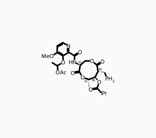 COc1ccnc(C(=O)N[C@H]2COC(=O)[C@H](CP)[C@@H](OC(=O)C(C)C)[C@H](C)OC2=O)c1OC(C)OC(C)=O